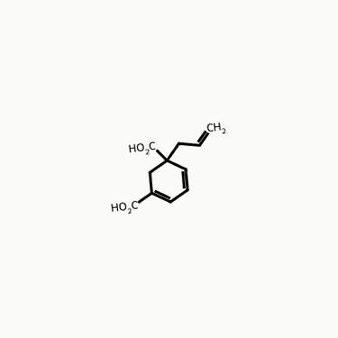 C=CCC1(C(=O)O)C=CC=C(C(=O)O)C1